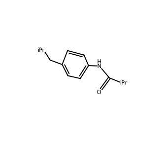 CC(C)Cc1ccc(NC(=O)C(C)C)cc1